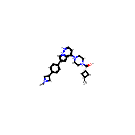 CC(C)N1CC(c2ccc(-c3cc4c(N5CCN(C(=O)[C@H]6C[C@H](C#N)C6)CC5)ccnn4c3)cc2)C1